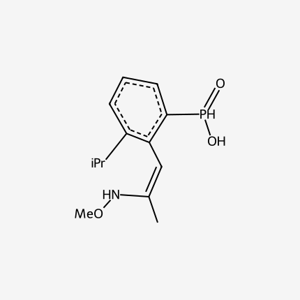 CONC(C)=Cc1c(C(C)C)cccc1[PH](=O)O